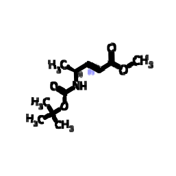 COC(=O)/C=C/[C@H](C)NC(=O)OC(C)(C)C